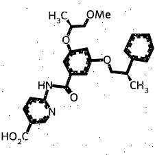 COC[C@H](C)Oc1cc(OC[C@H](C)c2ccccc2)cc(C(=O)Nc2ccc(C(=O)O)cn2)c1